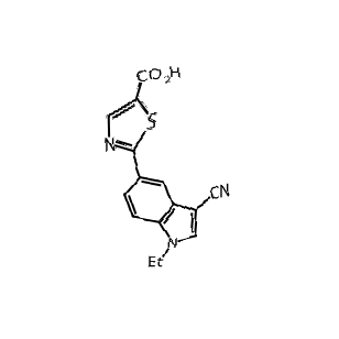 CCn1cc(C#N)c2cc(-c3ncc(C(=O)O)s3)ccc21